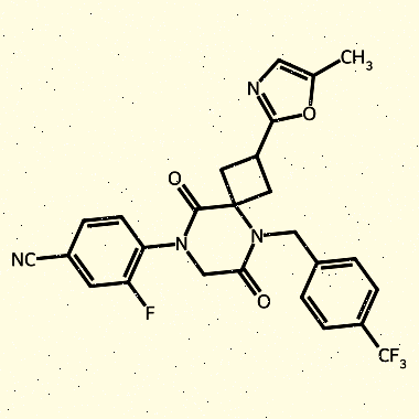 Cc1cnc(C2CC3(C2)C(=O)N(c2ccc(C#N)cc2F)CC(=O)N3Cc2ccc(C(F)(F)F)cc2)o1